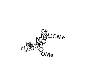 COc1ccc(S(=O)(=O)N(CC(F)(F)F)c2cnc(N(CCNS(C)(=O)=O)S(=O)(=O)c3ccc(OC)cc3)c3ccccc23)cc1